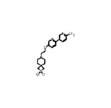 O=S1(=O)CC2(CCN(CCOc3ccc(-c4ccc(C(F)(F)F)nc4)nc3)CC2)C1